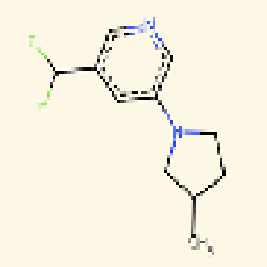 CC1CCN(c2cncc(C(F)F)c2)C1